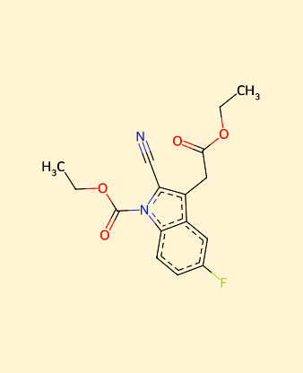 CCOC(=O)Cc1c(C#N)n(C(=O)OCC)c2ccc(F)cc12